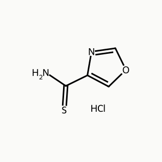 Cl.NC(=S)c1cocn1